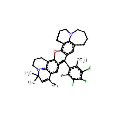 CC1=CC(C)(C)[N+]2=c3c1cc1c(c3CCC2)Oc2c(cc3c4c2CCCN4CCCC3)C=1c1c(F)c(F)c(F)c(F)c1C(=O)O